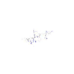 C=N/C(=N\C(C)=C/C)[C@H]1C[C@@H]1C(=O)Nc1cc(Cl)nc(C)n1